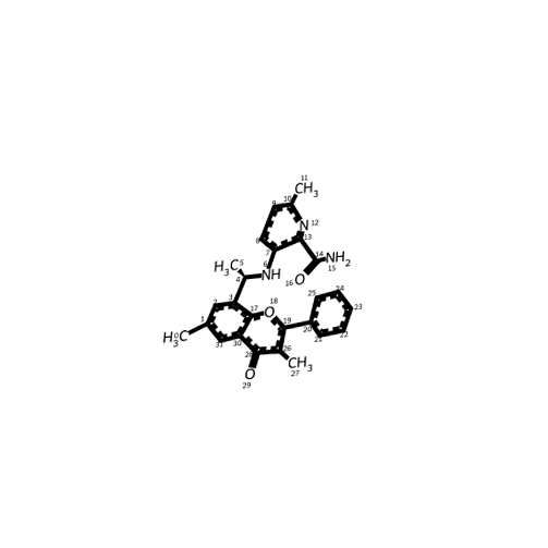 Cc1cc([C@@H](C)Nc2ccc(C)nc2C(N)=O)c2oc(-c3ccccc3)c(C)c(=O)c2c1